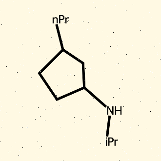 CCCC1CCC(NC(C)C)C1